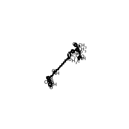 CCN(c1cc(-c2ccc(CN3CCN(C(=O)CCCCCCCCCCCCCCC(=O)NCCCOc4cccc5c4C(=O)N(C4CCC(=O)NC4=O)C5=O)CC3)cc2)cc(C(=O)NCc2c(C)cc(C)[nH]c2=O)c1C)C1CCOCC1